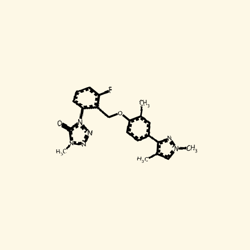 Cc1cc(-c2nn(C)cc2C)ccc1OCc1c(F)cccc1-n1nnn(C)c1=O